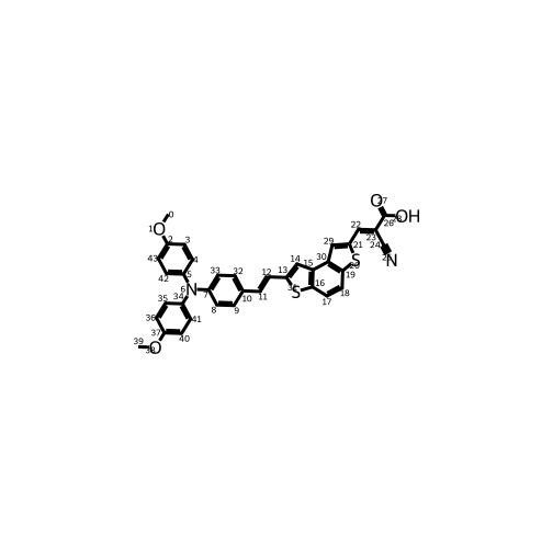 COc1ccc(N(c2ccc(/C=C/c3cc4c(ccc5sc(/C=C(\C#N)C(=O)O)cc54)s3)cc2)c2ccc(OC)cc2)cc1